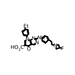 CCc1ccc(-n2cc(C(=O)O)c(=O)c3cnc(Nc4ccc(CCN5CC(F)C5)cc4)nc32)cc1